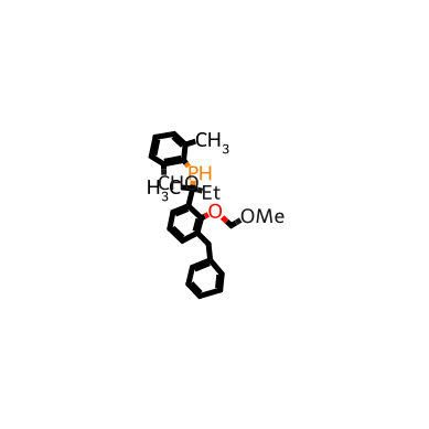 CCC(C)(Pc1c(C)cccc1C=O)c1cccc(Cc2ccccc2)c1OCOC